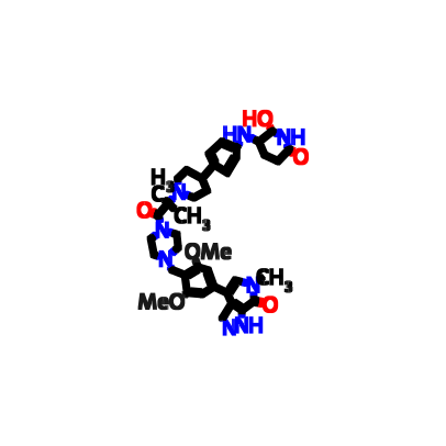 COc1cc(-c2cn(C)c(=O)c3[nH]ncc23)cc(OC)c1CN1CCN(C(=O)C(C)(C)N2CCC(c3ccc(NC4CCC(=O)NC4O)cc3)CC2)CC1